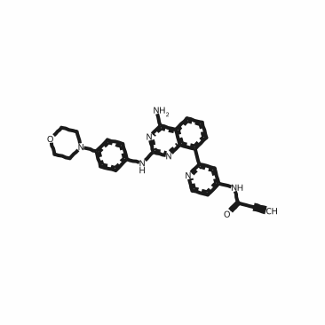 C#CC(=O)Nc1ccnc(-c2cccc3c(N)nc(Nc4ccc(N5CCOCC5)cc4)nc23)c1